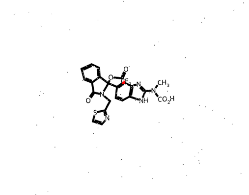 CN(C(=O)O)c1nc2cc(C3(OC(=O)C(F)(F)F)c4ccccc4C(=O)N3Cc3nccs3)ccc2[nH]1